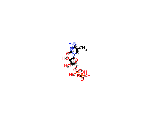 Cc1cn([C@@H]2O[C@H](COP(=O)(O)OP(=O)(O)O)[C@@H](O)[C@H]2O)c(=O)nc1N